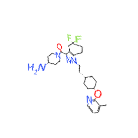 Cc1cccnc1O[C@H]1CC[C@@H](CCn2nc(C(=O)N3CCC(N)CC3)c3c2CCC(F)(F)C3)CC1